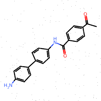 CC(=O)c1ccc(C(=O)Nc2ccc(-c3ccc(N)cc3)cc2)cc1